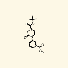 COC(=O)c1cccc(N2CCN(C(=O)OC(C)(C)C)CC2=O)c1